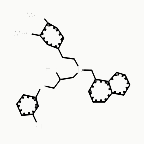 COc1ccc(CCN(Cc2cccc3ccccc23)CC(O)COc2cccc(C)c2)cc1OC